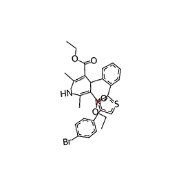 CCOC(=O)C1=C(C)NC(C)=C(C(=O)OCC)C1c1ccccc1-c1nc(-c2ccc(Br)cc2)cs1